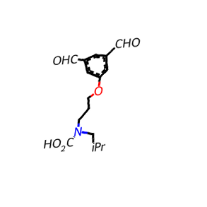 CC(C)CN(CCCOc1cc(C=O)cc(C=O)c1)C(=O)O